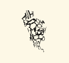 CN1CC2CCNC2c2cc(O)c3c(c21)C[C@H]1C[C@H]2[C@@H](N(C)C)C(O)=C(C(N)=O)C(=O)[C@@]2(O)C(O)=C1C3=O